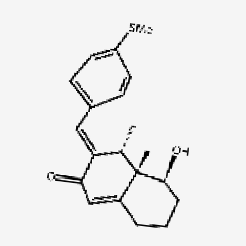 CSc1ccc(/C=C2/C(=O)C=C3CCC[C@H](O)[C@@]3(C)[C@H]2C)cc1